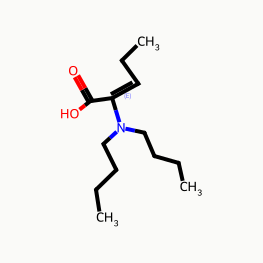 CC/C=C(\C(=O)O)N(CCCC)CCCC